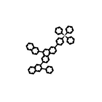 c1ccc(-c2cc3ccccc3cc2-c2ccc3c(c2)c(-c2ccc4ccccc4c2)cc2cc(-c4ccc([Si](c5ccccc5)(c5ccccc5)c5ccccc5)cc4)ccc23)cc1